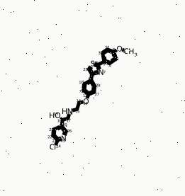 COc1ccc(-c2nc(-c3ccc(OCCNC[C@H](O)c4ccc(Cl)nc4)cc3)cs2)cc1